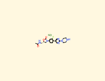 CC(=O)NC[C@H]1CN(c2ccc(-c3cnc(N4CCNCC4)nc3)c(F)c2)C(=O)O1.Cl